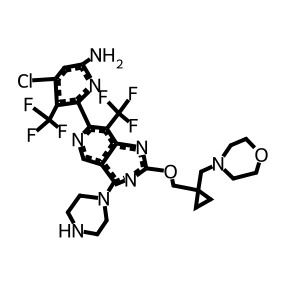 Nc1cc(Cl)c(C(F)(F)F)c(-c2ncc3c(N4CCNCC4)nc(OCC4(CN5CCOCC5)CC4)nc3c2C(F)(F)F)n1